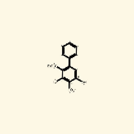 CCOC(=O)c1c(-c2ccccc2)cc(O)c(C(=O)O)c1O